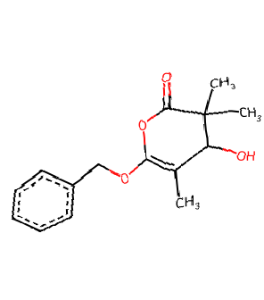 CC1=C(OCc2ccccc2)OC(=O)C(C)(C)C1O